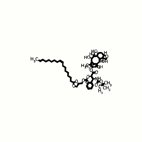 CCCCCCCC/C=C\CCCCCCCC1OCC(COC(=O)O[C@@H](C(=O)O[C@H]2C[C@@]3(O)C[C@@H]4[C@]5(O)CO[C@@H]5C[C@H](O)[C@@]4(C)C(=O)[C@H](O)C(=C2C)C3(C)C)[C@@H](NC(=O)OC(C)(C)C)c2ccccc2)O1